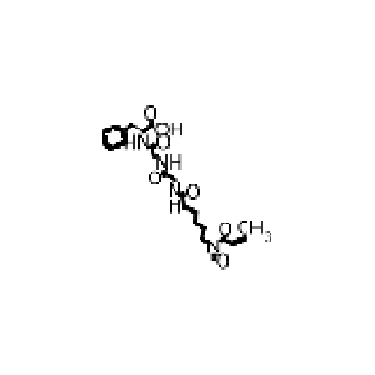 C/C=C\C(=O)N(C=O)CCCCCC(=O)NCC(=O)NCC(=O)N[C@@H](Cc1ccccc1)C(=O)O